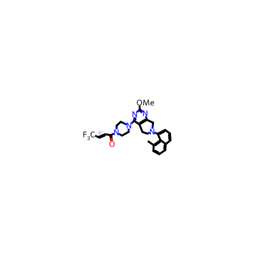 COc1nc2c(c(N3CCN(C(=O)/C=C/C(F)(F)F)CC3)n1)CCN(c1cccc3cccc(C)c13)C2